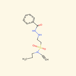 C#CN(CCC)S(=O)(=O)CCNNC(=O)c1ccccc1